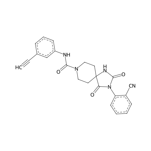 C#Cc1cccc(NC(=O)N2CCC3(CC2)NC(=O)N(c2ccccc2C#N)C3=O)c1